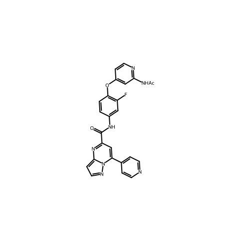 CC(=O)Nc1cc(Oc2ccc(NC(=O)c3cc(-c4ccncc4)n4nccc4n3)cc2F)ccn1